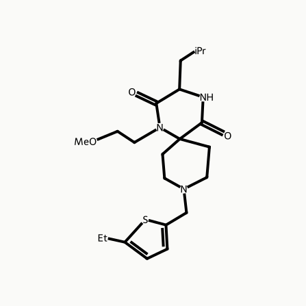 CCc1ccc(CN2CCC3(CC2)C(=O)NC(CC(C)C)C(=O)N3CCOC)s1